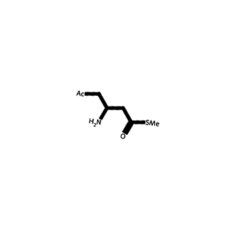 CSC(=O)CC(N)CC(C)=O